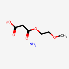 COCCOC(=O)CC(=O)O.N